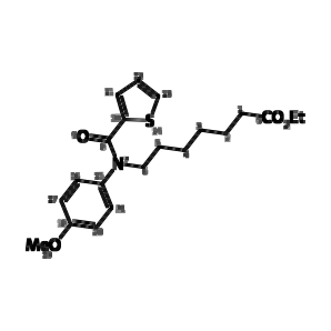 CCOC(=O)CCCCCCN(C(=O)c1cccs1)c1ccc(OC)cc1